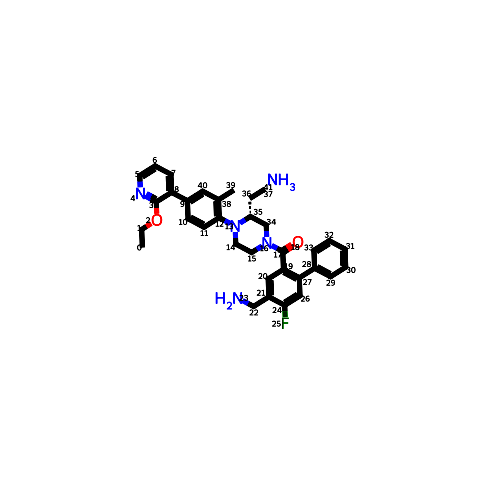 CCOc1ncccc1-c1ccc(N2CCN(C(=O)c3cc(CN)c(F)cc3-c3ccccc3)C[C@H]2CC)c(C)c1.N